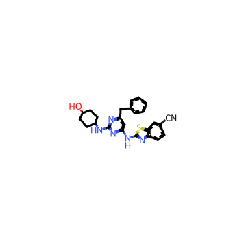 N#Cc1ccc2nc(Nc3cc(Cc4ccccc4)nc(NC4CCC(O)CC4)n3)sc2c1